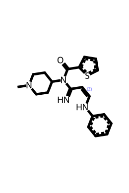 CN1CCC(N(C(=N)/C=C\Nc2ccccc2)C(=O)c2cccs2)CC1